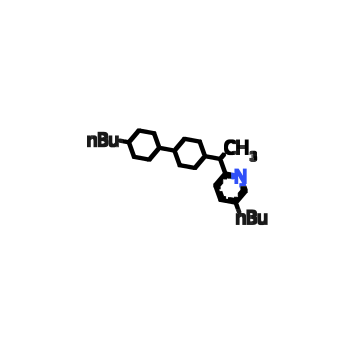 CCCCc1ccc(C(C)C2CCC(C3CCC(CCCC)CC3)CC2)nc1